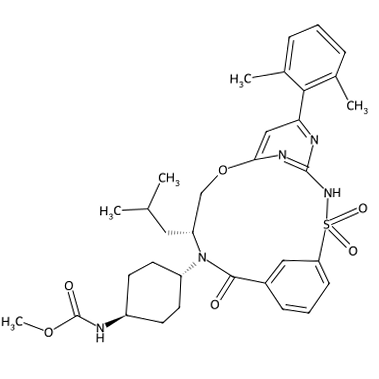 COC(=O)N[C@H]1CC[C@H](N2C(=O)c3cccc(c3)S(=O)(=O)Nc3nc(cc(-c4c(C)cccc4C)n3)OC[C@H]2CC(C)C)CC1